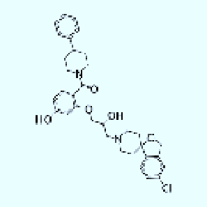 O=C(c1ccc(O)cc1OC[C@H](O)CN1CCC2(CC1)OCc1cc(Cl)ccc12)N1CCC(c2ccccc2)CC1